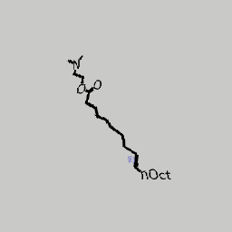 CCCCCCCC/C=C/CCCCCCCC(=O)OCCN(C)C